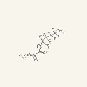 C=CNC(=O)OC(F)(F)C(F)(F)C(F)(F)C(C)(F)F